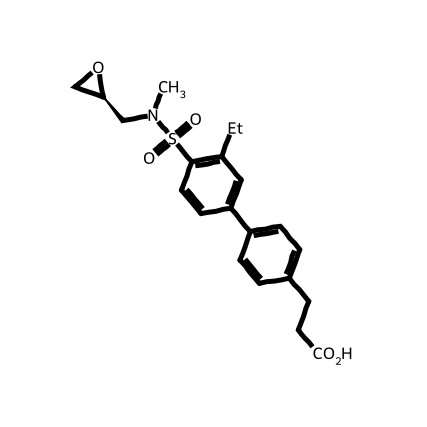 CCc1cc(-c2ccc(CCC(=O)O)cc2)ccc1S(=O)(=O)N(C)C[C@H]1CO1